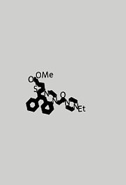 CCN1CCN(C(=O)CN2CCn3c(c(C4CCCCC4)c4sc(C(=O)OC)cc43)-c3ccccc32)CC1